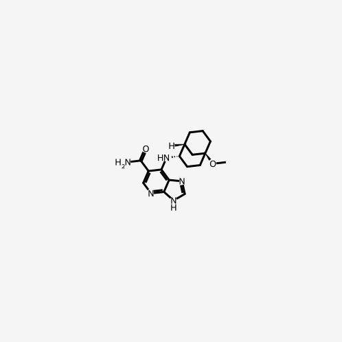 CO[C@]12CCC[C@H](C1)[C@@H](Nc1c(C(N)=O)cnc3[nH]cnc13)CC2